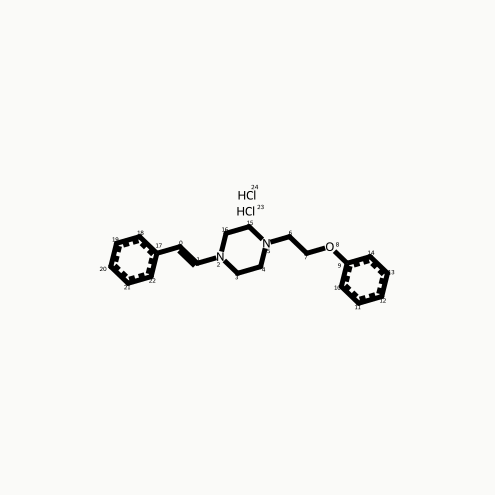 C(=CN1CCN(CCOc2ccccc2)CC1)c1ccccc1.Cl.Cl